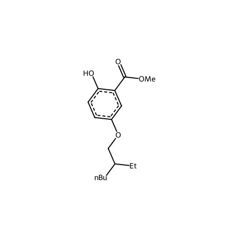 CCCCC(CC)COc1ccc(O)c(C(=O)OC)c1